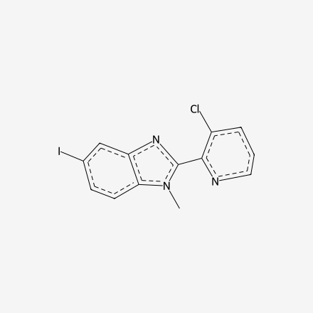 Cn1c(-c2ncccc2Cl)nc2cc(I)ccc21